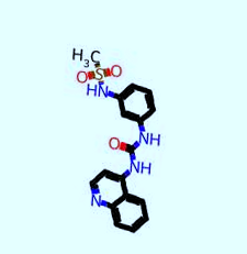 CS(=O)(=O)Nc1cccc(NC(=O)Nc2ccnc3ccccc23)c1